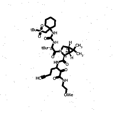 C#CCCC(NC(=O)[C@@H]1[C@@H]2[C@H](CN1C(=O)[C@@H](NC(=O)NC1(CS(=O)(=O)C(C)(C)C)CCCCC1)C(C)(C)C)C2(C)C)C(=O)C(=O)NCCOC